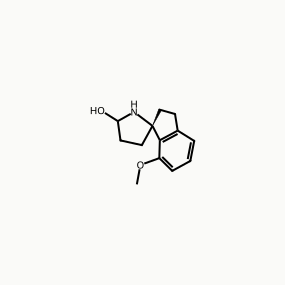 COc1cccc2c1[C@]1(CC2)CCC(O)N1